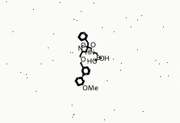 COc1cccc(-c2cccc(COCC3=NOC(Cc4ccccc4)(C(=O)NCB(O)O)C3)c2)c1